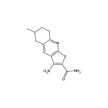 CC1CCc2nc3sc(C(N)=O)c(N)c3cc2C1